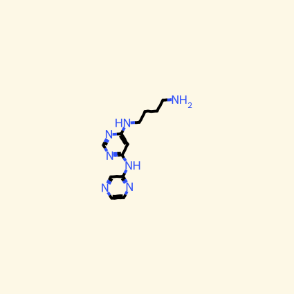 NCCCCNc1cc(Nc2cnccn2)ncn1